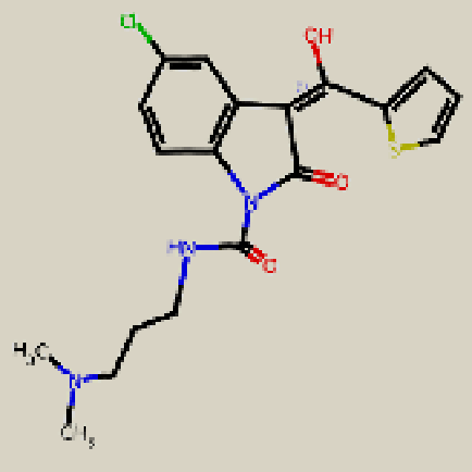 CN(C)CCCNC(=O)N1C(=O)/C(=C(/O)c2cccs2)c2cc(Cl)ccc21